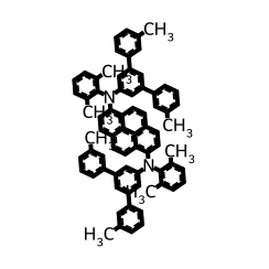 Cc1cccc(-c2cc(-c3cccc(C)c3)cc(N(c3c(C)cccc3C)c3ccc4ccc5c(N(c6cc(-c7cccc(C)c7)cc(-c7cccc(C)c7)c6)c6c(C)cccc6C)ccc6ccc3c4c65)c2)c1